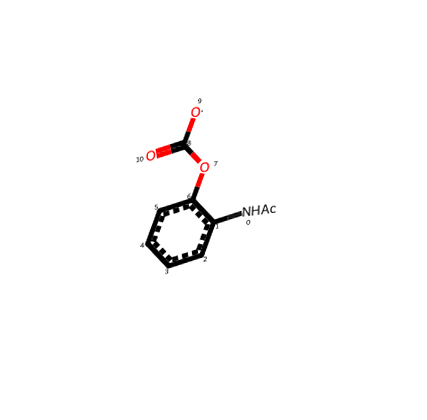 CC(=O)Nc1ccccc1OC([O])=O